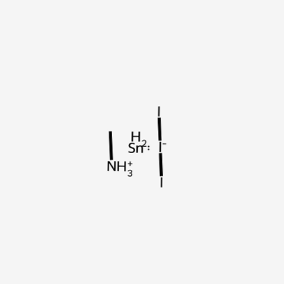 C[NH3+].I[I-]I.[SnH2]